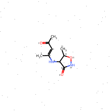 CC(=O)C=C(C)NC1C(=O)NOC1C